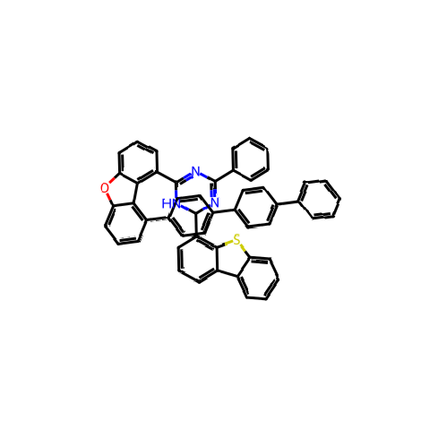 c1ccc(C2=NC(c3cccc4c3sc3ccccc34)NC(c3cccc4oc5cccc(-c6ccc(-c7ccc(-c8ccccc8)cc7)cc6)c5c34)=N2)cc1